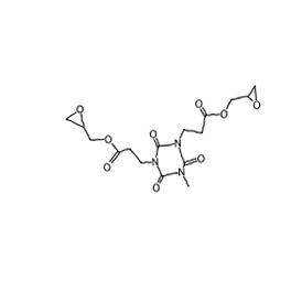 Cn1c(=O)n(CCC(=O)OCC2CO2)c(=O)n(CCC(=O)OCC2CO2)c1=O